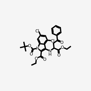 CCOC(=O)c1c(NC(CC(=O)c2ccccc2)C(=O)OCC)c2c(Cl)cc(Cl)cc2n1C(=O)OC(C)(C)C